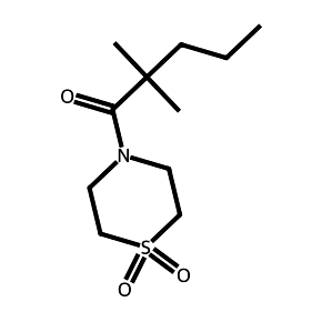 CCCC(C)(C)C(=O)N1CCS(=O)(=O)CC1